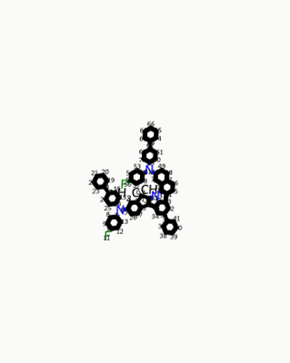 CC1(C)c2cc(N(c3ccc(F)cc3)c3ccc(-c4ccccc4)cc3)ccc2-c2c1n1c3c2cc(-c2ccccc2)cc3c2ccc3ccc(N(c4ccc(F)cc4)c4ccc(-c5ccccc5)cc4)cc3c21